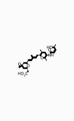 CC(/C=C/[C@@H]1C[C@]2(CO2)C[C@@H](CC(=O)O)O1)=C\C[C@@H]1O[C@H](C)[C@H](NC(=O)/C=C\[C@H](C)O)C[C@@H]1C